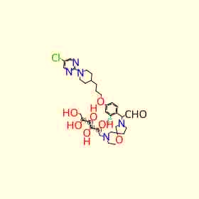 O=CC(c1ccc(OCCCC2CCN(c3ncc(Cl)cn3)CC2)cc1F)N1CCC2(CN(C[C@H](O)[C@@H](O)[C@H](O)[C@H](O)CO)CCO2)C1